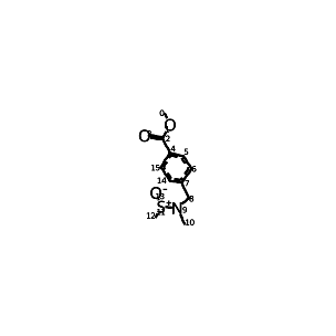 COC(=O)c1ccc(CN(C)[S+](C)[O-])cc1